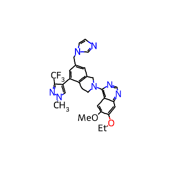 CCOc1cc2ncnc(N3CCc4c(cc(Cn5ccnc5)cc4-c4cn(C)nc4C(F)(F)F)C3)c2cc1OC